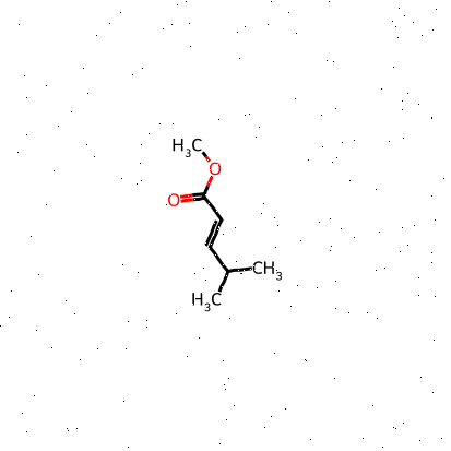 COC(=O)/C=C/C(C)C